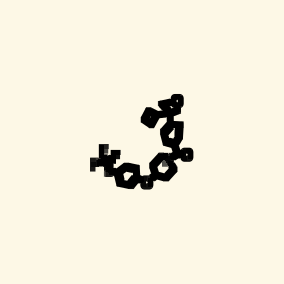 O=C(c1ccc(C2(C3CCC3)COC2)cc1)N1CCC(Oc2ccc(SC(F)(F)F)cc2)CC1